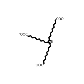 O=C([O-])CCCCCCCCC[C]1=[Bi][C](CCCCCCCCCC(=O)[O-])=C1CCCCCCCCCC(=O)[O-]